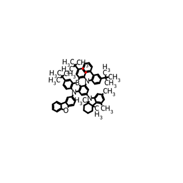 Cc1cc(C)c2c(c1)N(c1cc3c4c(c1)N(c1ccc(C(C)(C)C)cc1-c1ccccc1)c1ccc(C(C)(C)C)cc1B4c1cc(C(C)(C)C)ccc1N3c1ccc3oc4ccccc4c3c1)C1(C)CCCCC21C